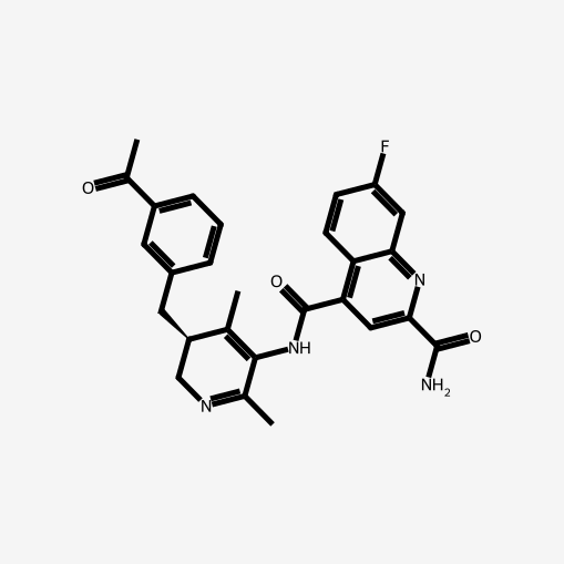 CC(=O)c1cccc(C[C@@H]2CN=C(C)C(NC(=O)c3cc(C(N)=O)nc4cc(F)ccc34)=C2C)c1